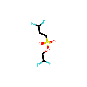 O=S(=O)(CCC(F)F)OCC(F)F